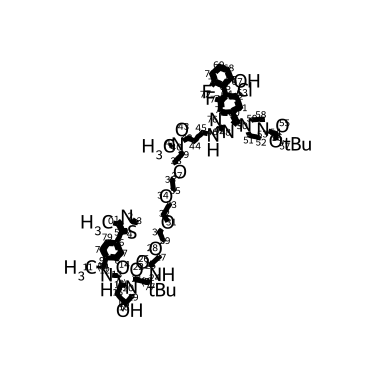 Cc1ncsc1-c1ccc([C@H](C)NC(=O)[C@@H]2C[C@@H](O)CN2C(=O)[C@@H](NC(=O)COCCOCCOCCOCCN(C)C(=O)CCNc2nc(N3CCN(C(=O)OC(C)(C)C)CC3)c3cc(Cl)c(-c4c(O)cccc4F)c(F)c3n2)C(C)(C)C)cc1